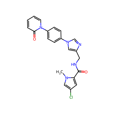 Cn1cc(Cl)cc1C(=O)NCc1cn(-c2ccc(-n3ccccc3=O)cc2)cn1